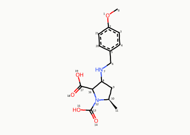 COc1ccc(CNC2C[C@@H](C)N(C(=O)O)C2C(=O)O)cc1